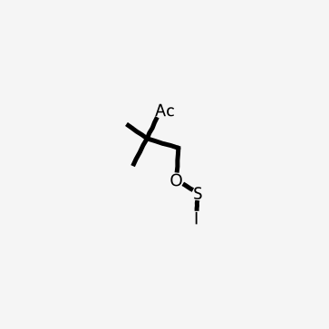 CC(=O)C(C)(C)COSI